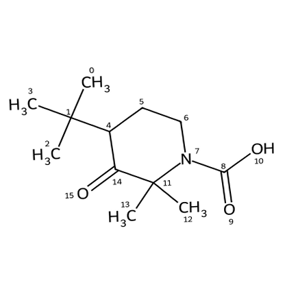 CC(C)(C)C1CCN(C(=O)O)C(C)(C)C1=O